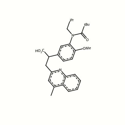 COc1ccc(C(Cc2cc(C)c3ccccc3n2)C(=O)O)cc1N(CC(C)C)C(=O)C(C)(C)C